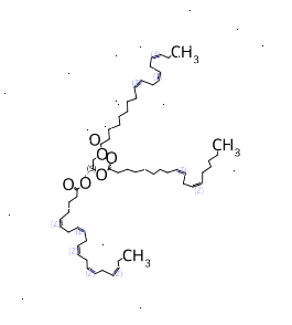 CC/C=C\C/C=C\C/C=C\C/C=C\C/C=C\CCCC(=O)OC[C@H](COC(=O)CCCCCCC/C=C\C/C=C\C/C=C\CC)OC(=O)CCCCCCC/C=C\C/C=C\CCCCC